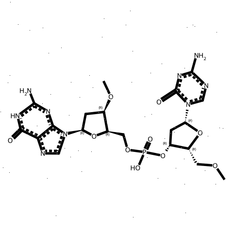 COC[C@H]1O[C@@H](n2cnc(N)nc2=O)C[C@H]1OP(=O)(O)OC[C@H]1O[C@@H](n2cnc3c(=O)[nH]c(N)nc32)C[C@H]1OC